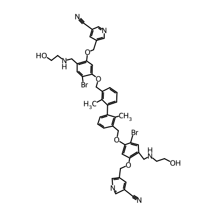 Cc1c(COc2cc(OCc3cncc(C#N)c3)c(CNCCO)cc2Br)cccc1-c1cccc(COc2cc(OCc3cncc(C#N)c3)c(CNCCO)cc2Br)c1C